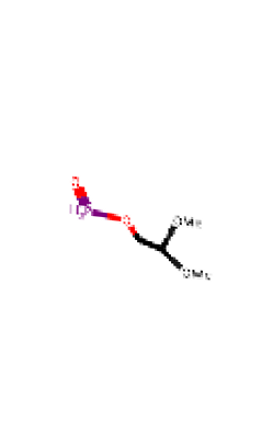 COC(CO[PH2]=O)OC